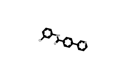 O=C(Nc1cccc(Cl)c1)c1ccc(-c2cccnc2)cc1